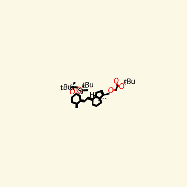 C=C1CCC(O[Si](C)(C)C(C)(C)C)(O[Si](C)(C)C(C)(C)C)CC1=CC=C1CCC[C@]2(C)C(COCC(=O)OC(C)(C)C)=CC[C@@H]12